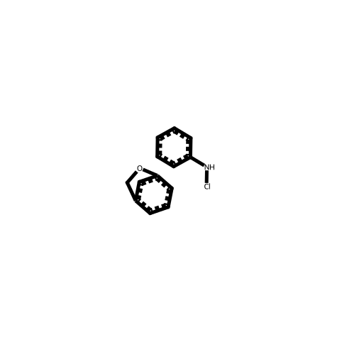 ClNc1ccccc1.c1cc2cc(c1)OC2